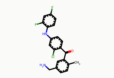 Cc1ccc(CN)cc1C(=O)c1ccc(Nc2ccc(F)cc2F)cc1Cl